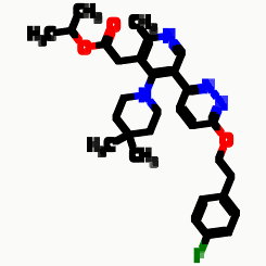 Cc1ncc(-c2ccc(OCCc3ccc(F)cc3)nn2)c(N2CCC(C)(C)CC2)c1CC(=O)OC(C)C